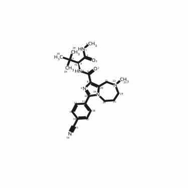 CNC(=O)[C@@H](NC(=O)c1nc(-c2ccc(C#N)cc2)n2c1CN(C)CCC2)C(C)(C)C